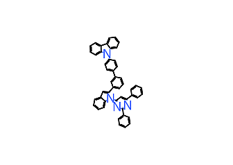 c1ccc(-c2cc(-n3c(-c4cccc(-c5ccc(-n6c7ccccc7c7ccccc76)cc5)c4)cc4ccccc43)nc(-c3ccccc3)n2)cc1